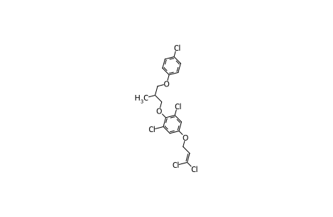 CC(COc1ccc(Cl)cc1)COc1c(Cl)cc(OCC=C(Cl)Cl)cc1Cl